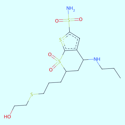 CCCNC1CC(CCCSCCO)S(=O)(=O)c2sc(S(N)(=O)=O)cc21